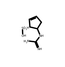 N=C(N)NC1CC=CC1.O=S(=O)(O)O